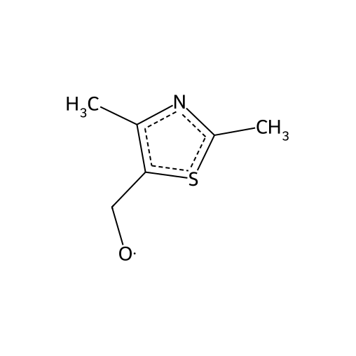 Cc1nc(C)c(C[O])s1